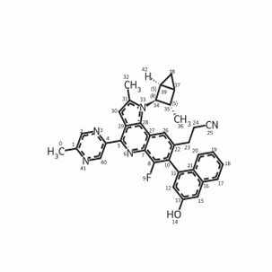 Cc1cnc(-c2nc3c(F)c(-c4cc(O)cc5ccccc45)c(CCC#N)cc3c3c2cc(C)n3[C@@H]2[C@@H](C)C3C[C@@H]32)cn1